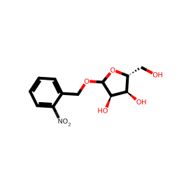 O=[N+]([O-])c1ccccc1COC1O[C@H](CO)[C@@H](O)[C@H]1O